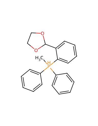 C[PH](c1ccccc1)(c1ccccc1)c1ccccc1C1OCCO1